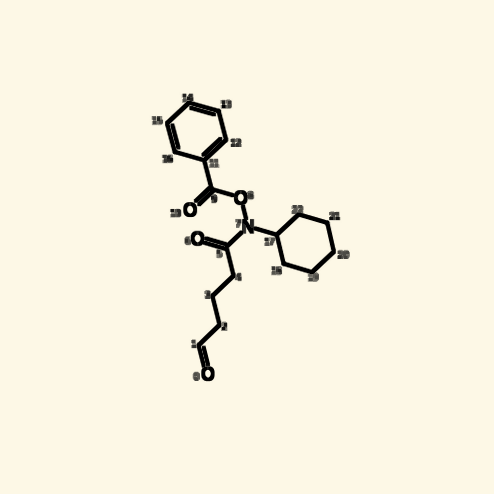 O=CCCCC(=O)N(OC(=O)c1ccccc1)C1CCCCC1